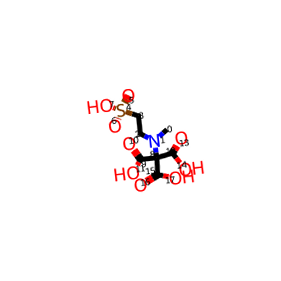 CN(CCS(=O)(=O)O)C(C(=O)O)(C(=O)O)C(=O)O